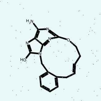 Nc1nc2nc3c1nc(O)n3Cc1ccccc1C/C=C/CCO2